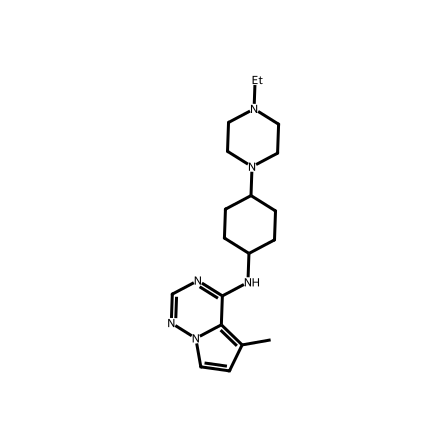 CCN1CCN(C2CCC(Nc3ncnn4ccc(C)c34)CC2)CC1